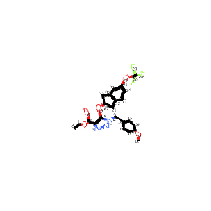 CCOC(=O)c1nnn(Cc2ccc(OC)cc2)c1OC1Cc2ccc(OC(F)(F)F)cc2C1